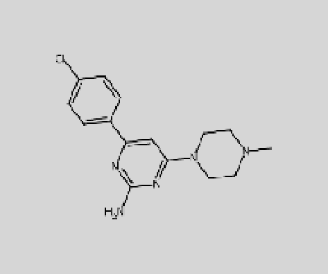 CN1CCN(c2cc(-c3ccc(Cl)cc3)nc(N)n2)CC1